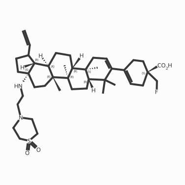 C=CC1CC[C@]2(NCCN3CCS(=O)(=O)CC3)CC[C@]3(C)[C@H](CC[C@@H]4[C@@]5(C)CC=C(C6=CC[C@](CF)(C(=O)O)CC6)C(C)(C)[C@@H]5CC[C@]43C)[C@@H]12